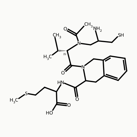 CSCCC(NC(=O)C1Cc2ccccc2CN1C(=O)[C@H](C(C)C)N(CC(N)CS)C(C)=O)C(=O)O